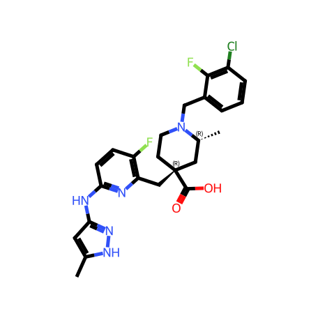 Cc1cc(Nc2ccc(F)c(C[C@@]3(C(=O)O)CCN(Cc4cccc(Cl)c4F)[C@H](C)C3)n2)n[nH]1